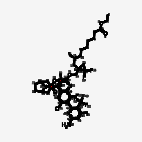 CCOC(=O)CCCCCCN(C)C[C@@]1(COc2nc(N3CC4CCC(C3)N4C(=O)OC(C)(C)C)c3cc(Cl)c(-c4nc(N)cc(C)c4C(F)(F)F)c(F)c3n2)CC1(F)F